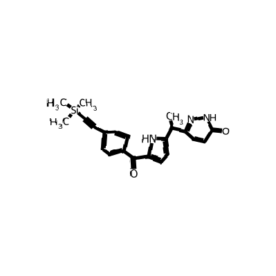 CC(c1ccc(=O)[nH]n1)c1ccc(C(=O)c2ccc(C#C[Si](C)(C)C)cc2)[nH]1